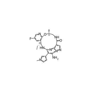 CC[C@H]1Nc2nc3c(cnn3c(N)c2-c2ccn(C)c2)C(=O)NC[C@H](C)Oc2ncc(F)cc21